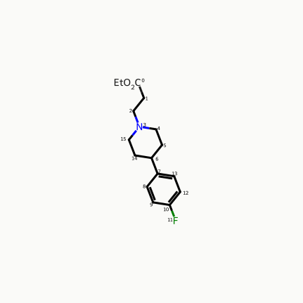 CCOC(=O)CCN1CCC(c2ccc(F)cc2)CC1